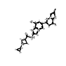 Cc1cn2nc(-c3cc(F)c4nc(NC(=O)C5CN(C6CC6)C5)cn4c3)cc(C)c2n1